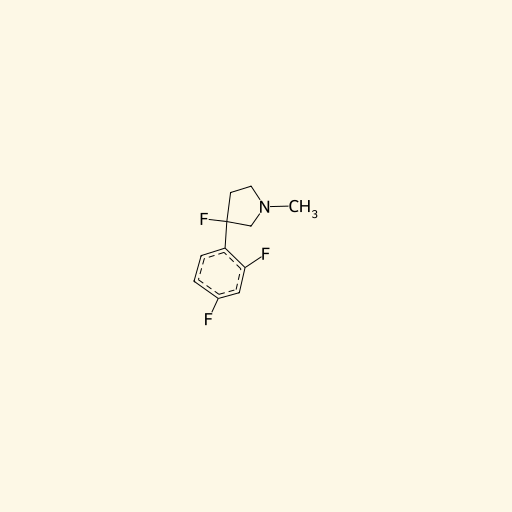 CN1CCC(F)(c2ccc(F)cc2F)C1